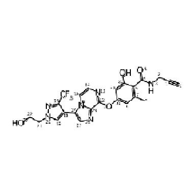 C#CCNC(=O)c1c(C)cc(Oc2nccn3c(-c4cn(CCO)nc4C(F)(F)F)cnc23)cc1O